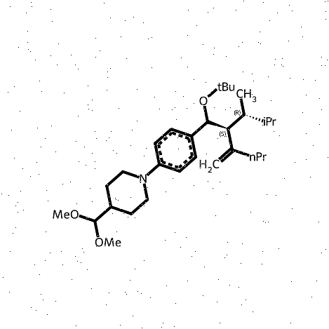 C=C(CCC)[C@@H](C(OC(C)(C)C)c1ccc(N2CCC(C(OC)OC)CC2)cc1)[C@H](C)C(C)C